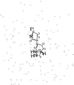 Fc1ccc(C2=C[C@H]3NC[C@H]3CC2)cn1